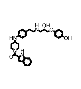 O=C(c1cc2ccccc2[nH]1)N1CCC(Nc2ccc(CCNC[C@H](O)COc3ccc(O)cc3)cc2)CC1